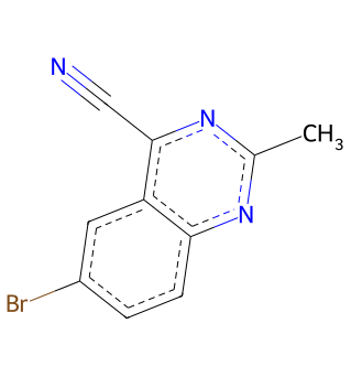 Cc1nc(C#N)c2cc(Br)ccc2n1